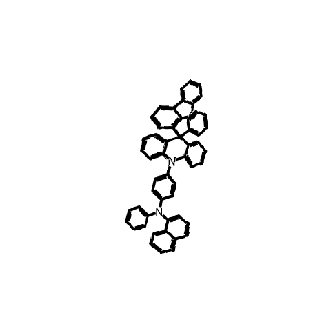 c1ccc(N(c2ccc(N3c4ccccc4C(c4ccccc4)(c4cccc5c4oc4ccccc45)c4ccccc43)cc2)c2cccc3ccccc23)cc1